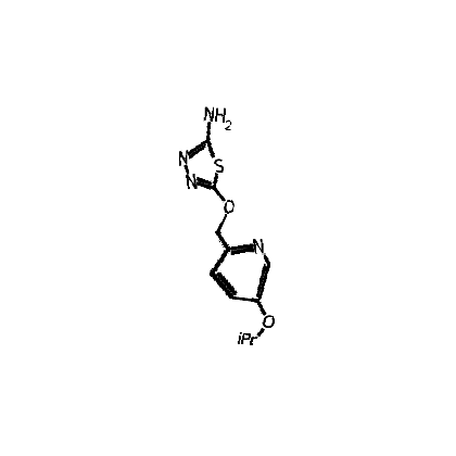 CC(C)Oc1ccc(COc2nnc(N)s2)nc1